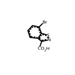 O=C(O)c1nsc2c(Br)cccc12